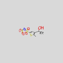 CCC(O)c1cc(S(=O)(=O)N=S(=O)=O)sc1C